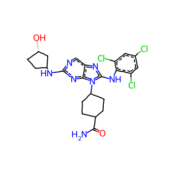 NC(=O)C1CCC(n2c(Nc3c(Cl)cc(Cl)cc3Cl)nc3cnc(N[C@@H]4CC[C@H](O)C4)nc32)CC1